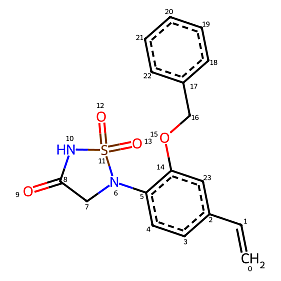 C=Cc1ccc(N2CC(=O)NS2(=O)=O)c(OCc2ccccc2)c1